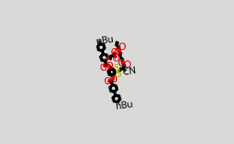 C=CC(=O)OCC(COC(=O)C(C#N)=C1Sc2c(OC(=O)C3CCC(C4CCC(CCCC)CC4)CC3)ccc(OC(=O)C3CCC(C4CCC(CCCC)CC4)CC3)c2S1)OC(=O)C=C